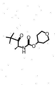 C[C@H](NC(=O)OC1CCOCC1)C(=O)C(C)(C)C